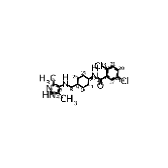 Cc1n[nH]c(C)c1NCC1CCC(NC(=O)c2cc(Cl)ccc2Cl)CC1